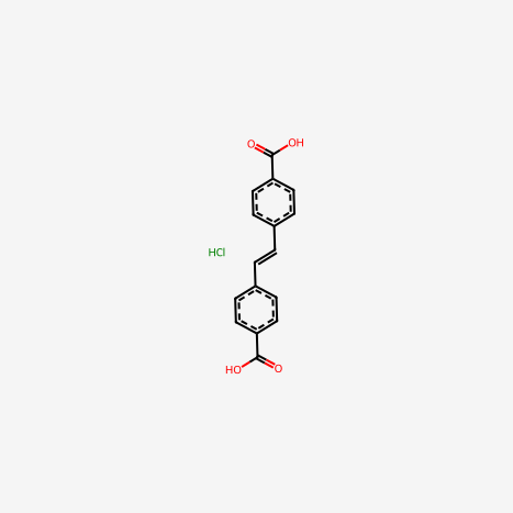 Cl.O=C(O)c1ccc(C=Cc2ccc(C(=O)O)cc2)cc1